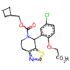 O=C(O)COc1ccc(Cl)cc1C1c2scnc2CCN1C(=O)OCC1CCC1